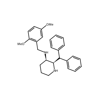 COc1ccc(OC)c(CN[C@@H]2CCCN[C@@H]2C(c2ccccc2)c2ccccc2)c1